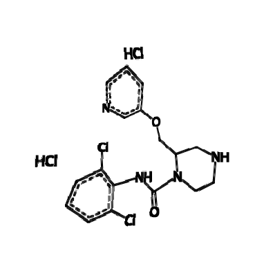 Cl.Cl.O=C(Nc1c(Cl)cccc1Cl)N1CCNCC1COc1cccnc1